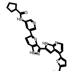 CC(=O)c1ccc(-c2ccnc3[nH]c(-c4n[nH]c5ccc(-c6cncc(NC(=O)C7CCCC7)c6)nc45)cc23)s1